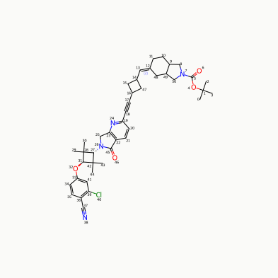 CC(C)(C)OC(=O)N1CC2CC/C(=C/C3CC(C#Cc4ccc5c(n4)CN([C@H]4C(C)(C)[C@H](Oc6ccc(C#N)c(Cl)c6)C4(C)C)C5=O)C3)CC2C1